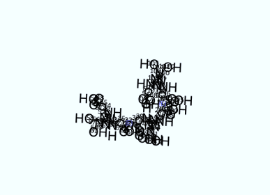 O=S(=O)(O)c1ccc(Nc2nc(Nc3ccc(/C=C/c4ccc(Nc5nc(Nc6ccc(/C=C/c7ccc(Nc8nc(Nc9ccc(S(=O)(=O)O)cc9)nc(N(CCO)CCO)n8)cc7S(=O)(=O)O)c(SOOO)c6)nc(N(CCO)CCO)n5)cc4S(=O)(=O)O)c(SOOO)c3)nc(N(CCO)CCO)n2)cc1